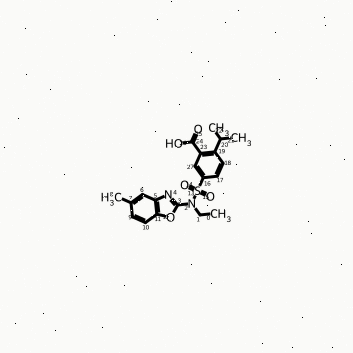 CCN(c1nc2cc(C)ccc2o1)S(=O)(=O)c1ccc(C(C)C)c(C(=O)O)c1